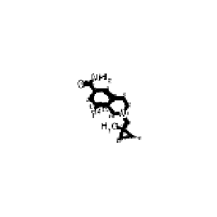 CC1(CN2CCc3cc(C(N)=O)cc(F)c3C2)CC1